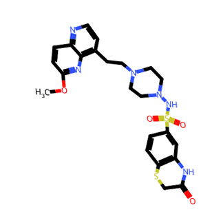 COc1ccc2nccc(CCN3CCN(NS(=O)(=O)c4ccc5c(c4)NC(=O)CS5)CC3)c2n1